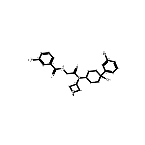 O=C(NCC(=O)N(C1CCC(O)(c2cccc(O)c2)CC1)C1CNC1)c1cccc(C(F)(F)F)c1